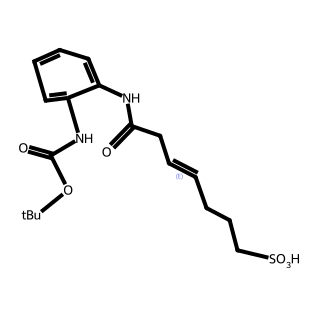 CC(C)(C)OC(=O)Nc1ccccc1NC(=O)C/C=C/CCCS(=O)(=O)O